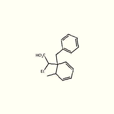 CCC(C(=O)O)C1(Cc2ccccc2)C=CC=CC1C